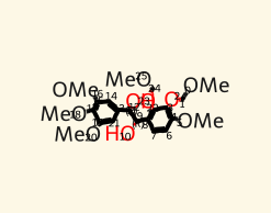 COCOc1c(OC)ccc([C@@H](O)[C@H](O)c2cc(OC)c(OC)c(OC)c2)c1OCOC